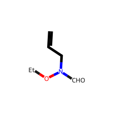 C=CCN(C=O)OCC